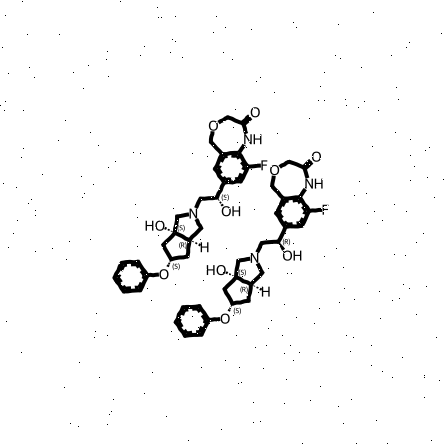 O=C1COCc2cc([C@@H](O)CN3C[C@H]4C[C@H](Oc5ccccc5)C[C@@]4(O)C3)cc(F)c2N1.O=C1COCc2cc([C@H](O)CN3C[C@H]4C[C@H](Oc5ccccc5)C[C@@]4(O)C3)cc(F)c2N1